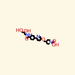 O=C(NC[C@@H](O)CO)C1CC=C(c2ccc(OCC3CCN(C(=O)O)CC3)cn2)CC1